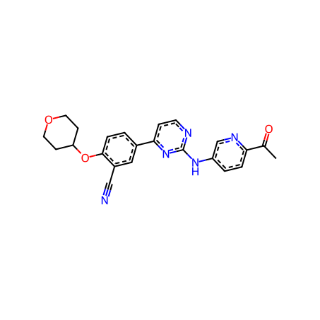 CC(=O)c1ccc(Nc2nccc(-c3ccc(OC4CCOCC4)c(C#N)c3)n2)cn1